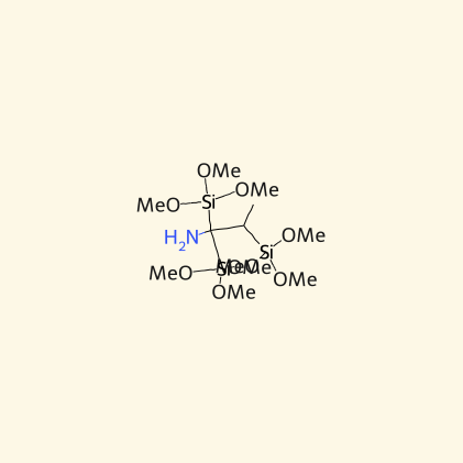 CO[Si](OC)(OC)C(C)C(N)([Si](OC)(OC)OC)[Si](OC)(OC)OC